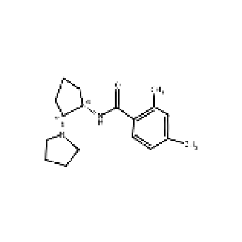 Bc1ccc(C(=O)N[C@H]2CCC[C@H]2N2CCCC2)c(C)c1